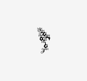 [2H]C([2H])([2H])NC(=O)c1cnc(NC(=O)C2CC2)cc1Nc1cccc(C(=O)NCc2ccc(NC(=O)CCl)cn2)c1OC